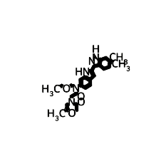 CCOCN(C(=O)CN1C[C@@H](C)OCC1=O)c1ccc2cc(-c3n[nH]c4c3CCC(C)(C)C4)[nH]c2c1